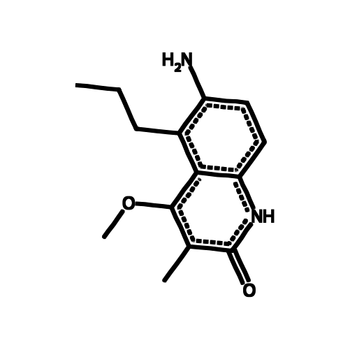 CCCc1c(N)ccc2[nH]c(=O)c(C)c(OC)c12